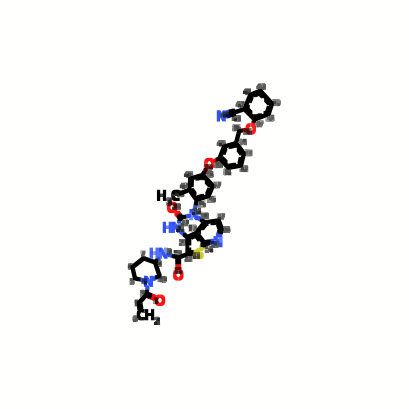 C=CC(=O)N1CCCC(NC(=O)c2sc3nccc4c3c2NC(=O)N4c2ccc(Oc3cccc(COc4ccccc4C#N)c3)cc2C)C1